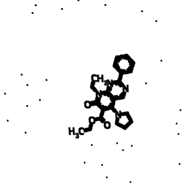 CCOC(=O)c1c(N2CCCC2)c2cnc(-c3ccccc3)nc2n(CC)c1=O